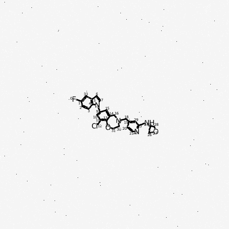 Fc1ccc2c(ccn2-c2cc(Cl)c3c(c2)CN(Cc2ccnc(NC4COC4)c2)CCO3)c1